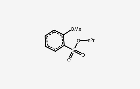 CCCOS(=O)(=O)c1ccccc1OC